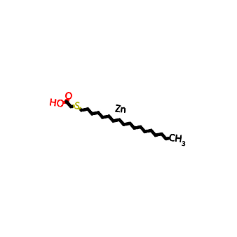 CCCCCCCCCCCCCCCCCCSCC(=O)O.[Zn]